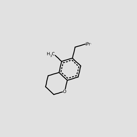 C[C](C)Cc1ccc2c(c1C)CCCO2